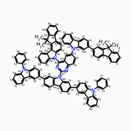 CC1(C)c2ccccc2-c2ccc(-c3ccc4c5ccccc5n(-c5ccc6nc(-n7c8cc(-c9ccc%10c(c9)c9ccccc9n%10-c9ccccc9)ccc8c8ccc(-c9ccc%10c(c9)c9ccccc9n%10-c9ccccc9)cc87)nc(-n7c8ccccc8c8c9c(ccc87)-c7ccccc7C9(C)C)c6c5)c4c3)cc21